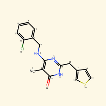 N#Cc1c(NCc2ccccc2Cl)nc(Cc2ccsc2)[nH]c1=O